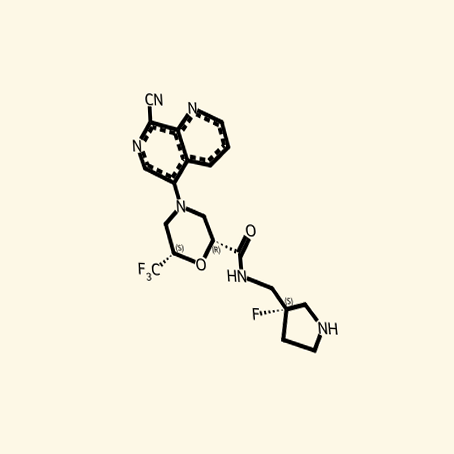 N#Cc1ncc(N2C[C@@H](C(F)(F)F)O[C@@H](C(=O)NC[C@]3(F)CCNC3)C2)c2cccnc12